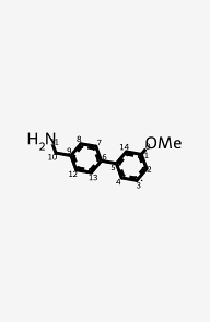 COc1c[c]cc(-c2ccc(CN)cc2)c1